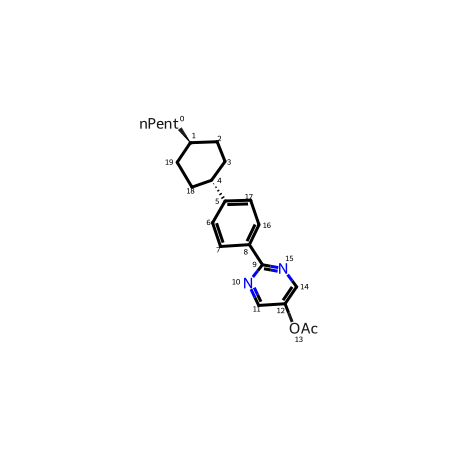 CCCCC[C@H]1CC[C@H](c2ccc(-c3ncc(OC(C)=O)cn3)cc2)CC1